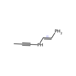 CC#CP/C=C/P